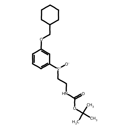 CC(C)(C)OC(=O)NCC[S+]([O-])c1cccc(OCC2CCCCC2)c1